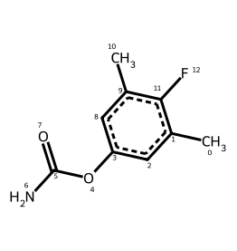 Cc1cc(OC(N)=O)cc(C)c1F